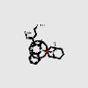 CON=C(CCC(=O)O)c1nc2ccccc2n(C2CC3CCC[C@H](C2)N3C2CCCCCCCCC2)c1=O